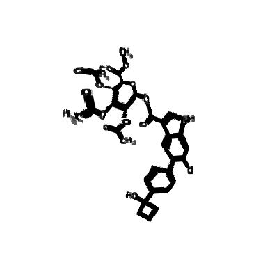 COC(=O)[C@H]1O[C@@H](OC(=O)c2c[nH]c3cc(Cl)c(-c4ccc(C5(O)CCC5)cc4)cc23)[C@H](OC(C)=O)[C@@H](OC(C)=O)[C@@H]1OC(C)=O